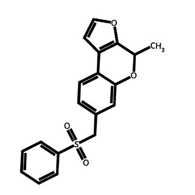 CC1Oc2cc(CS(=O)(=O)c3ccccc3)ccc2-c2ccoc21